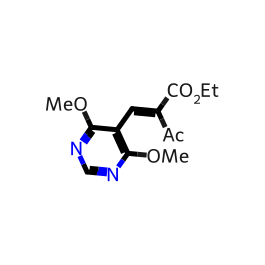 CCOC(=O)C(=Cc1c(OC)ncnc1OC)C(C)=O